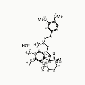 COc1ccc(CCN(C)CCCC2(c3ccc(C)c(C)c3)S(=O)(=O)CCCS2(=O)=O)cc1OC.Cl